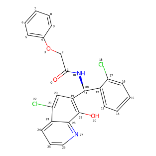 O=C(COc1ccccc1)N[C@@H](c1ccccc1Cl)c1cc(Cl)c2cccnc2c1O